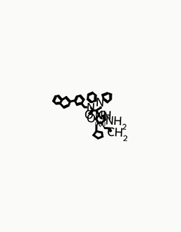 C=CC[C@H](C(N)=O)[C@@H](CC1CCCC1)C(=O)NC1CN(c2ccccc2)c2ccccc2N(Cc2cccc(-c3ccc4ccccc4c3)c2)C1=O